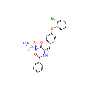 NS(=O)(=O)NC(=O)/C(=C\c1ccc(Oc2ccccc2Br)cc1)NC(=O)c1ccccc1